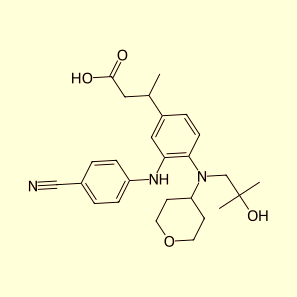 CC(CC(=O)O)c1ccc(N(CC(C)(C)O)C2CCOCC2)c(Nc2ccc(C#N)cc2)c1